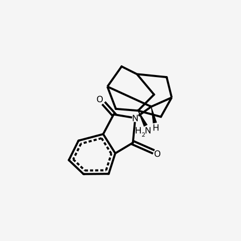 N[C@]12CC3CC(C1)[C@@H](N1C(=O)c4ccccc4C1=O)C(C3)C2